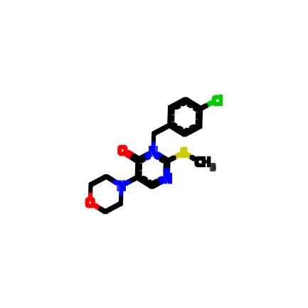 CSc1ncc(N2CCOCC2)c(=O)n1Cc1ccc(Cl)cc1